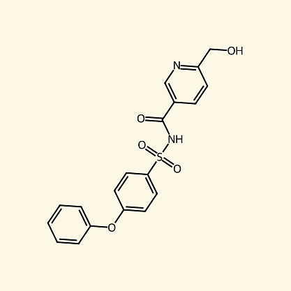 O=C(NS(=O)(=O)c1ccc(Oc2ccccc2)cc1)c1ccc(CO)nc1